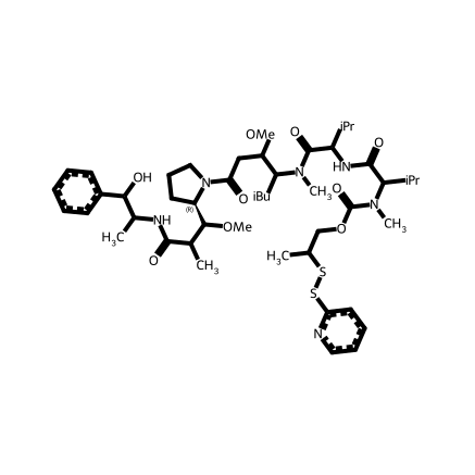 CCC(C)C(C(CC(=O)N1CCC[C@@H]1C(OC)C(C)C(=O)NC(C)C(O)c1ccccc1)OC)N(C)C(=O)C(NC(=O)C(C(C)C)N(C)C(=O)OCC(C)SSc1ccccn1)C(C)C